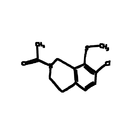 CSc1c(Cl)ccc2c1CN(C(C)=O)CC2